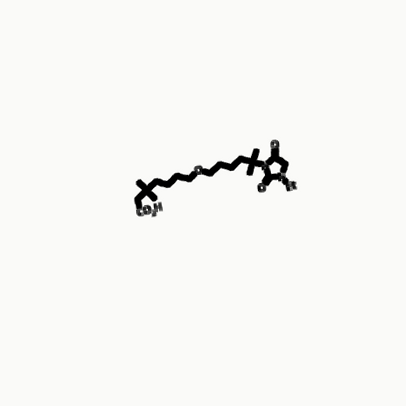 CCN1CC(=O)N(C(C)(C)CCCCOCCCCC(C)(C)CC(=O)O)C1=O